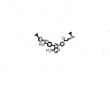 CN(C/C=C/C(=O)N1CC[C@@H](n2nc(-c3ccc(C(=O)NC4NC=C(C5CC5)S4)cc3)c3c(N)ncnc32)C1)C1CC1